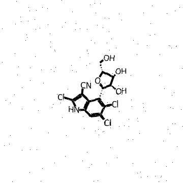 N#Cc1c(Cl)[nH]c2cc(Cl)c(Cl)c([C@@H]3O[C@H](CO)[C@@H](O)[C@H]3O)c12